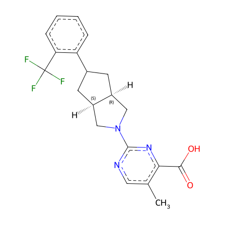 Cc1cnc(N2C[C@H]3CC(c4ccccc4C(F)(F)F)C[C@H]3C2)nc1C(=O)O